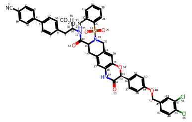 N#Cc1ccc(-c2ccc(C[C@H](NC(=O)C3Cc4cc5c(cc4CN3S(=O)(=O)c3ccccc3[N+](=O)[O-])O[C@@H](c3ccc(OCc4ccc(Cl)c(Cl)c4)cc3)C(=O)N5)C(=O)O)cc2)cc1